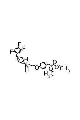 CCOC(=O)[C@H](Cc1ccc(OCCCN[C@@H]2C3CN(Cc4cc(F)c(F)cc4F)C[C@H]32)cc1)OCC